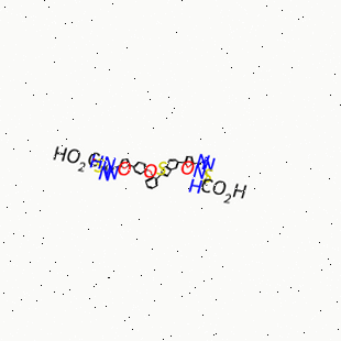 O=C(O)CSc1nnc(-c2ccc(-c3ccc(Oc4ccccc4-c4cc5cc(-c6ccc(-c7nnc(SCC(=O)O)[nH]7)o6)ccc5s4)cc3)o2)[nH]1